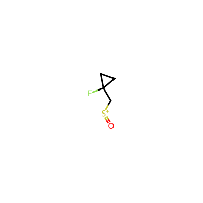 O=[S+]CC1(F)CC1